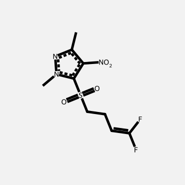 Cc1nn(C)c(S(=O)(=O)CCC=C(F)F)c1[N+](=O)[O-]